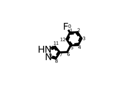 Fc1cccc(Cc2cn[nH]c2)c1